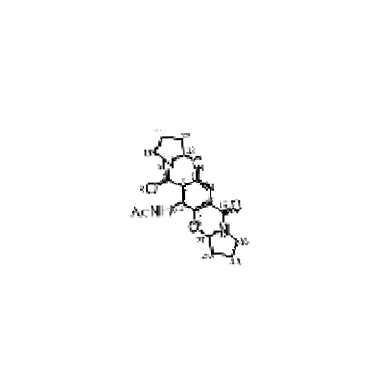 CC(=O)Nc1c2c(cc3c1C(=O)N1CCCC1O3)C(=O)N1CCCC1O2